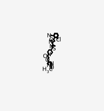 COc1ncc(OCC(=O)N2CCC(c3nc(C4=NOC(c5c(Cl)cccc5C#N)C4)cs3)CC2)cn1